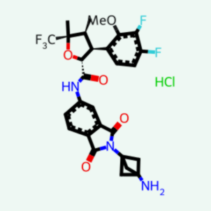 COc1c([C@H]2[C@H](C(=O)Nc3ccc4c(c3)C(=O)N(C35CC(N)(C3)C5)C4=O)O[C@@](C)(C(F)(F)F)[C@H]2C)ccc(F)c1F.Cl